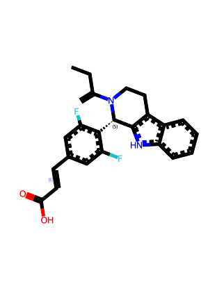 C=C(CC)N1CCc2c([nH]c3ccccc23)[C@@H]1c1c(F)cc(/C=C/C(=O)O)cc1F